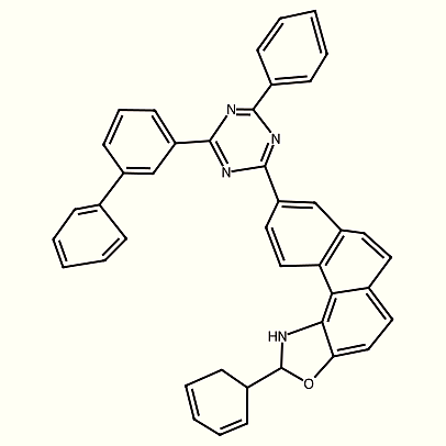 C1=CCC(C2Nc3c(ccc4ccc5cc(-c6nc(-c7ccccc7)nc(-c7cccc(-c8ccccc8)c7)n6)ccc5c34)O2)C=C1